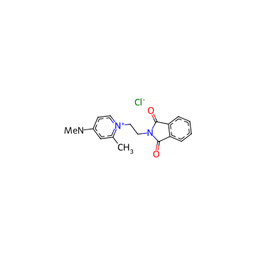 CNc1cc[n+](CCN2C(=O)c3ccccc3C2=O)c(C)c1.[Cl-]